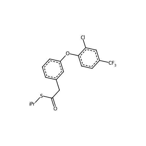 CC(C)SC(=O)Cc1cccc(Oc2ccc(C(F)(F)F)cc2Cl)c1